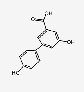 O=C(O)c1cc(O)cc(-c2ccc(O)cc2)c1